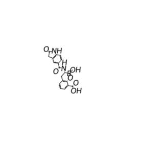 O=C1Cc2cc(C(=O)N[C@H]3Cc4cccc(C(=O)O)c4OB3O)ccc2N1